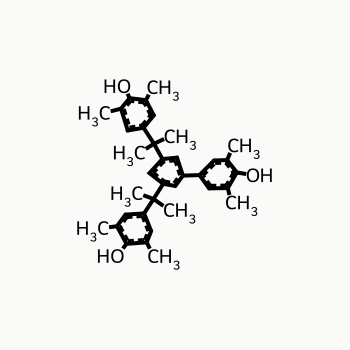 Cc1cc(-c2cc(C(C)(C)c3cc(C)c(O)c(C)c3)cc(C(C)(C)c3cc(C)c(O)c(C)c3)c2)cc(C)c1O